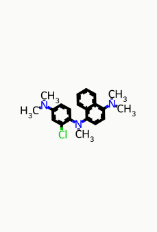 CN(C)c1ccc(N(C)c2ccc(N(C)C)c3ccccc23)c(Cl)c1